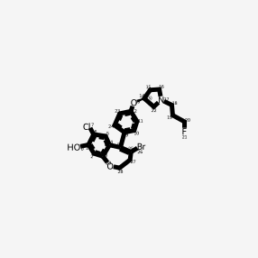 Oc1cc2c(cc1Cl)C(c1ccc(O[C@H]3CCN(CCCF)C3)cc1)=C(Br)CCO2